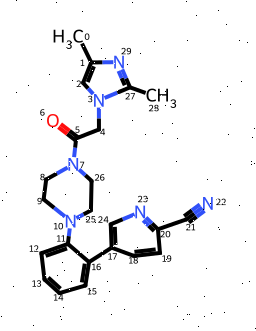 Cc1cn(CC(=O)N2CCN(c3ccccc3-c3ccc(C#N)nc3)CC2)c(C)n1